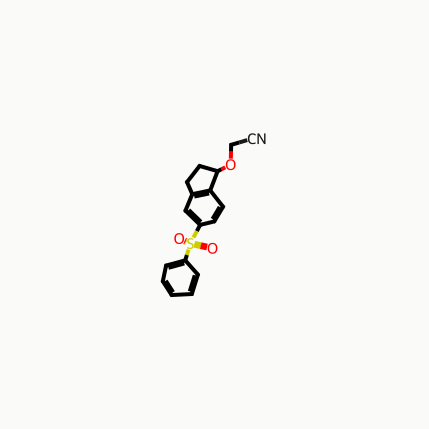 N#CCOC1CCc2cc(S(=O)(=O)c3ccccc3)ccc21